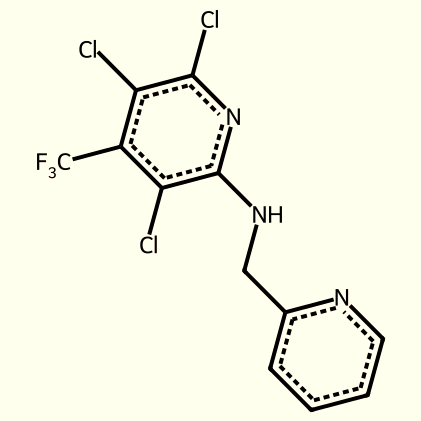 FC(F)(F)c1c(Cl)c(Cl)nc(NCc2ccccn2)c1Cl